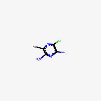 CC(=O)c1nc(Cl)c(N)nc1N